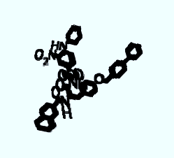 O=C(NC(Cc1ccc(OCc2ccc(-c3ccccc3)cc2)cc1)C(=O)NS(=O)(=O)c1ccc(NC2CCCCC2)c([N+](=O)[O-])c1)c1ccc2ccccc2c1